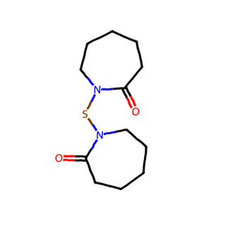 O=C1CCCCCN1SN1CCCCCC1=O